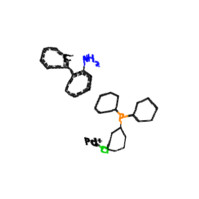 C1CCC(P(C2CCCCC2)C2CCCCC2)CC1.Nc1ccccc1-c1[c-]cccc1.[Cl][Pd+]